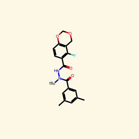 Cc1cc(C)cc(C(=O)N(NC(=O)c2ccc3c(c2F)COCO3)C(C)(C)C)c1